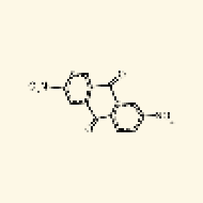 O=C1c2ccc([N+](=O)[O-])cc2C(=O)c2ccc([N+](=O)[O-])cc21